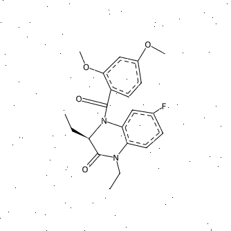 CC[C@@H]1C(=O)N(CC)c2ccc(F)cc2N1C(=O)c1ccc(OC)cc1OC